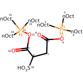 CCCCCCCC[PH](CCCCCCCC)(CCCCCCCC)OC(=O)CC(C(=O)O[PH](CCCCCCCC)(CCCCCCCC)CCCCCCCC)S(=O)(=O)O